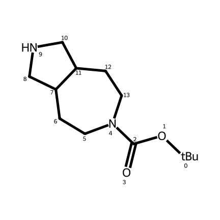 CC(C)(C)OC(=O)N1CCC2CNCC2CC1